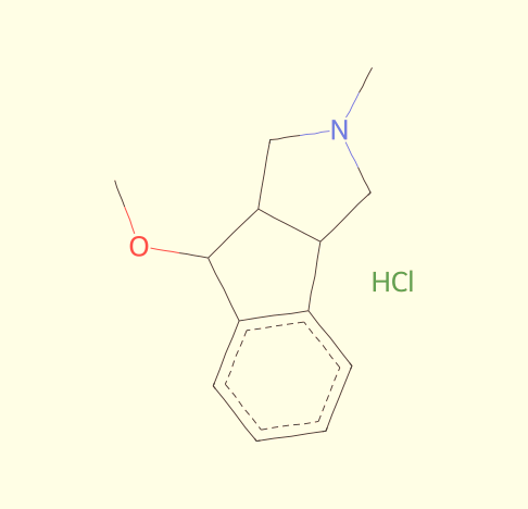 COC1c2ccccc2C2CN(C)CC21.Cl